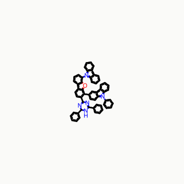 c1ccc(C2=NC(c3ccc4c(oc5c(-n6c7ccccc7c7ccccc76)cccc54)c3-c3ccc4c(c3)c3ccccc3n4-c3ccccc3)=NC(c3ccccc3)N2)cc1